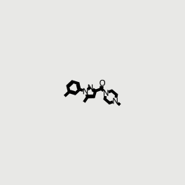 Cc1cccc(-n2nc(C(=O)N3CCN(C)CC3)cc2C)c1